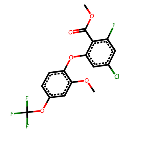 COC(=O)c1c(F)cc(Cl)cc1Oc1ccc(OC(F)(F)F)cc1OC